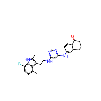 Cc1[nH]c2c(F)ccc(C)c2c1CCNc1cc(NC2=CC3CCCC(=O)C3C=C2)ncn1